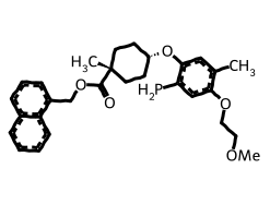 COCCOc1cc(P)c(O[C@H]2CC[C@@](C)(C(=O)OCc3cccc4ccccc34)CC2)cc1C